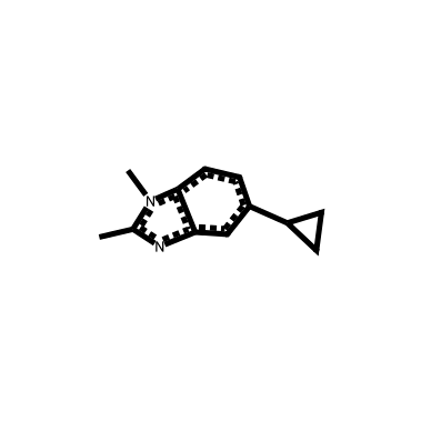 Cc1nc2cc(C3CC3)ccc2n1C